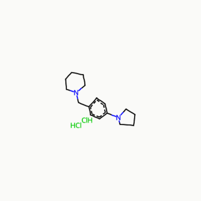 Cl.Cl.c1cc(N2CCCC2)ccc1CN1CCCCC1